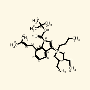 CCC[CH2][Sn]([CH2]CCC)([CH2]CCC)[c]1cn(C(=O)OC(C)(C)C)c2c(CC=C(C)C)cccc12